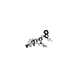 C=CC[C@@](C)(NC(=O)[C@@H]1C[C@@H](Oc2cc(C(F)(F)F)nc3ccccc23)CN1C(=O)OC(C)(C)C)C(=O)NS(=O)(=O)C1CC1